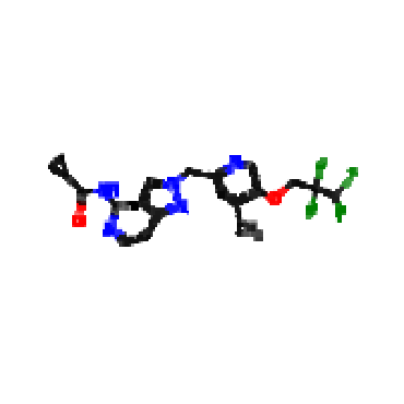 Cc1cc(Cn2cc3c(NC(=O)C4CC4)nccc3n2)ncc1OCC(F)(F)C(F)F